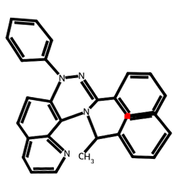 CC(c1ccccc1)N1C(c2ccccc2)=NN(c2ccccc2)c2ccc3cccnc3c21